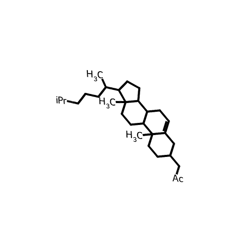 CC(=O)CC1CCC2(C)C(=CCC3C2CCC2(C)C(C(C)CCCC(C)C)CCC32)C1